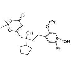 CCCOc1cc(O)c(CC)cc1CCC(O)(CC1=CC(=O)OC(C)(C)O1)C1CCCC1